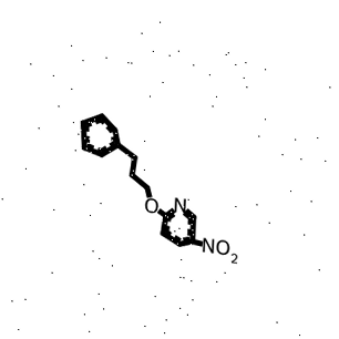 O=[N+]([O-])c1ccc(OCCCc2ccccc2)nc1